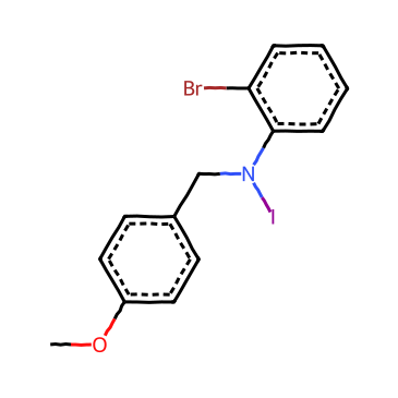 COc1ccc(CN(I)c2ccccc2Br)cc1